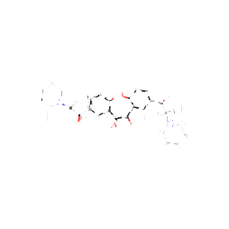 CC(C)(C(=O)c1ccc2oc3ccc(C(=O)C(C)(C)N4CCCCC4)cc3c(=O)c(=O)c2c1)N1CCCCC1